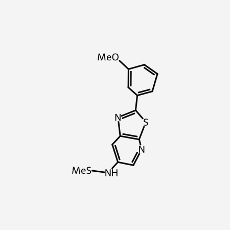 COc1cccc(-c2nc3cc(NSC)cnc3s2)c1